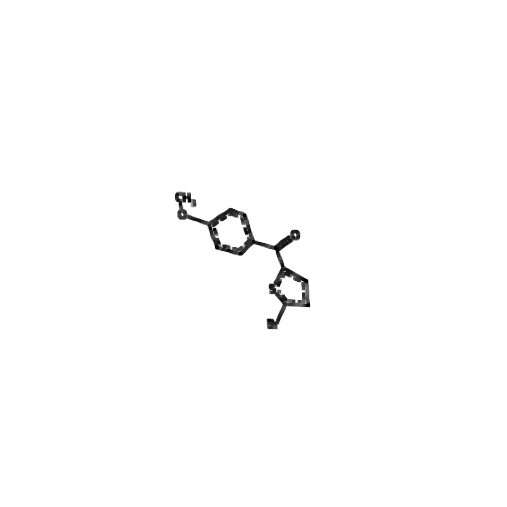 COc1ccc(C(=O)c2ccc(Br)s2)cc1